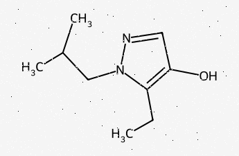 CCc1c(O)cnn1CC(C)C